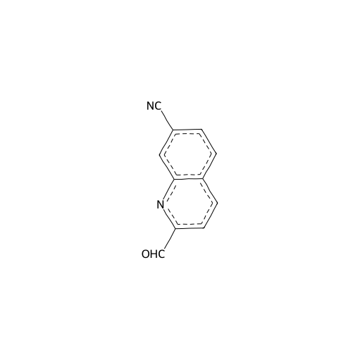 N#Cc1ccc2ccc(C=O)nc2c1